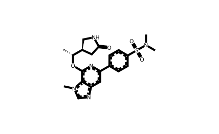 C[C@@H](Oc1nc(-c2ccc(S(=O)(=O)N(C)C)cc2)cc2ncn(C)c12)[C@H]1CNC(=O)C1